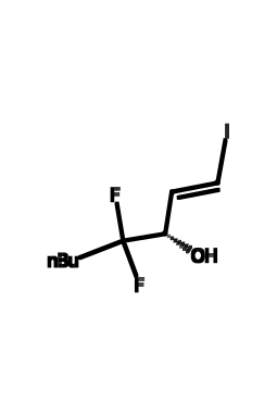 CCCCC(F)(F)[C@@H](O)/C=C/I